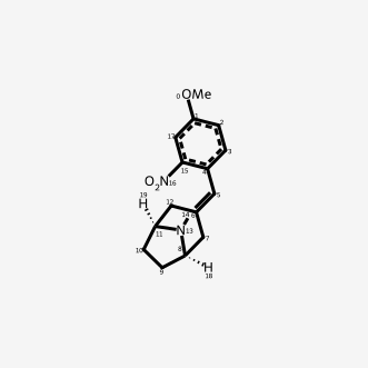 COc1ccc(/C=C2/C[C@H]3CC[C@@H](C2)N3C)c([N+](=O)[O-])c1